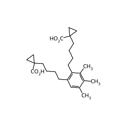 Cc1cc(CCCCC2(C(=O)O)CC2)c(CCCCC2(C(=O)O)CC2)c(C)c1C